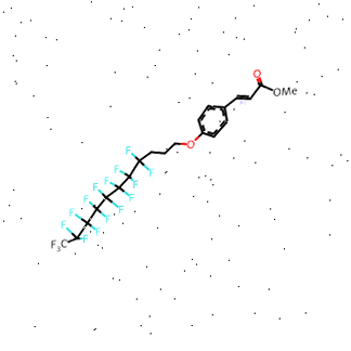 COC(=O)/C=C/c1ccc(OCCCC(F)(F)C(F)(F)C(F)(F)C(F)(F)C(F)(F)C(F)(F)C(F)(F)C(F)(F)F)cc1